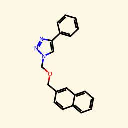 c1ccc(-c2cn(COCc3ccc4ccccc4c3)nn2)cc1